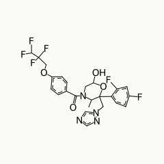 CC1N(C(=O)c2ccc(OCC(F)(F)C(F)F)cc2)CC(O)OC1(Cn1cncn1)c1ccc(F)cc1F